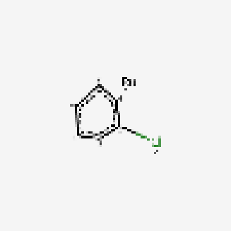 Clc1ccccc1.[Ru]